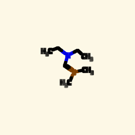 CCN(C=S(C)C)CC